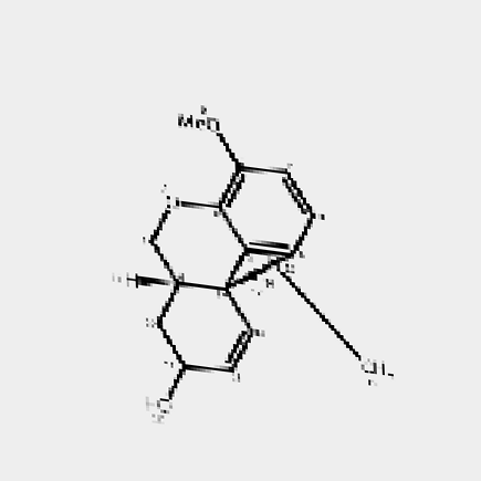 COc1ccc2c3c1OC[C@H]1CC(O)C=C[C@@]31CCN(C)C2